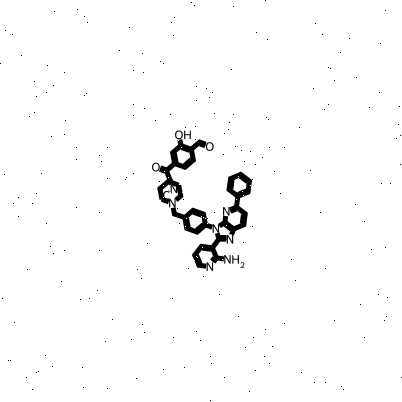 Nc1ncccc1-c1nc2ccc(-c3ccccc3)nc2n1-c1ccc(CN2CC3CCC2CN3C(=O)c2ccc(C=O)c(O)c2)cc1